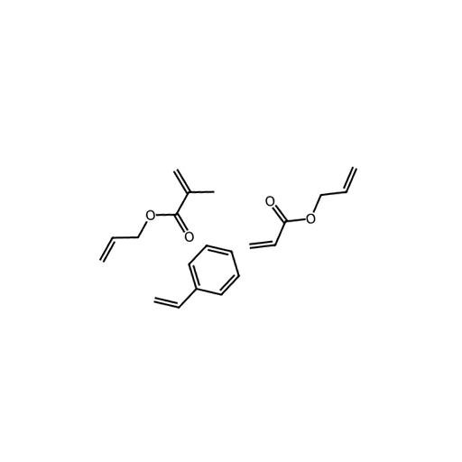 C=CCOC(=O)C(=C)C.C=CCOC(=O)C=C.C=Cc1ccccc1